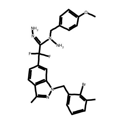 COc1ccc(CN(N)/C(=N\N)C(F)(F)c2ccc3c(C)nn(Cc4cccc(C)c4Br)c3c2)cc1